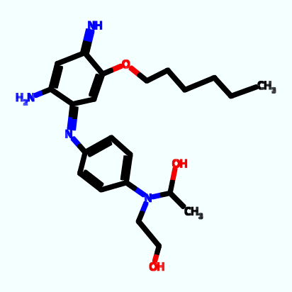 CCCCCCOC1=CC(=Nc2ccc(N(CCO)C(C)O)cc2)C(N)=CC1=N